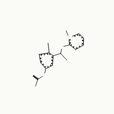 CC(=O)Nc1ccc(C)c(C(C)Sc2cccc[n+]2[O-])c1